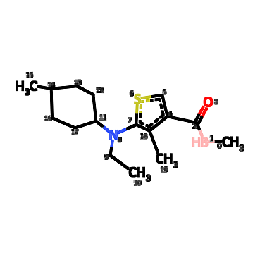 CBC(=O)c1csc(N(CC)C2CCC(C)CC2)c1C